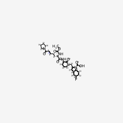 COC(=O)N[C@@H](CC/C=C/C(=O)N1CCCC1)C(=O)Nc1cccn(Cc2cc3cc(F)ccc3n2C(=O)O)c1=O